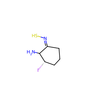 NC1/C(=N\S)CCC[C@@H]1I